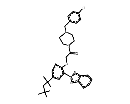 CC(C)(C)CC(C)(C)c1ccc(OCC(=O)N2CCN(Cc3ccc(Cl)cc3)CC2)c(-n2nc3ccccc3n2)c1